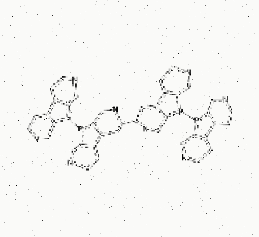 c1cc2c3ccncc3p(-p3c4cnccc4c4cc(-c5cc6c7ccncc7p(-p7c8cnccc8c8ccncc87)c6cn5)ncc43)c2cn1